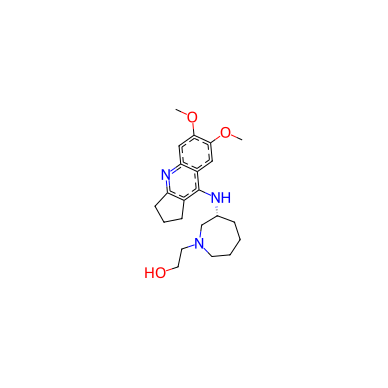 COc1cc2nc3c(c(N[C@@H]4CCCCN(CCO)C4)c2cc1OC)CCC3